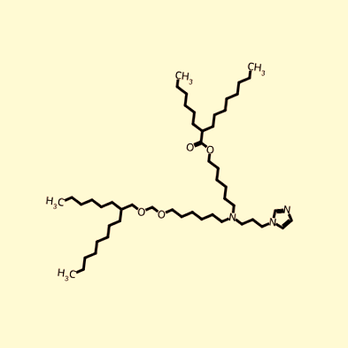 CCCCCCCCC(CCCCCC)COCOCCCCCCN(CCCCCCOC(=O)C(CCCCCC)CCCCCCCC)CCCn1ccnc1